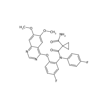 COc1cc2ncnc(Oc3ccc(F)cc3N(C(=O)C3(C(N)=O)CC3)c3ccc(F)cc3)c2cc1OC